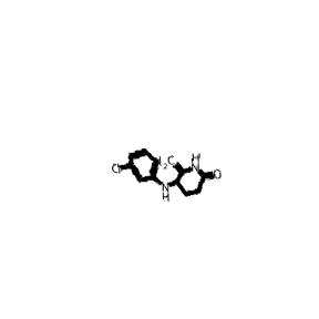 C=C1NC(=O)CCC1Nc1cccc(Cl)c1